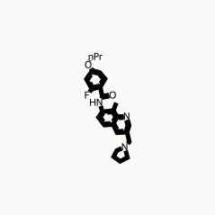 CCCOc1ccc(C(=O)Nc2ccc3cc(CN4CCCC4)cnc3c2C)c(F)c1